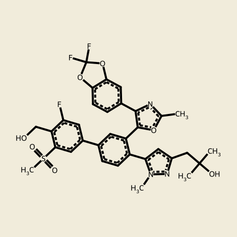 Cc1nc(-c2ccc3c(c2)OC(F)(F)O3)c(-c2cc(-c3cc(F)c(CO)c(S(C)(=O)=O)c3)ccc2-c2cc(CC(C)(C)O)nn2C)o1